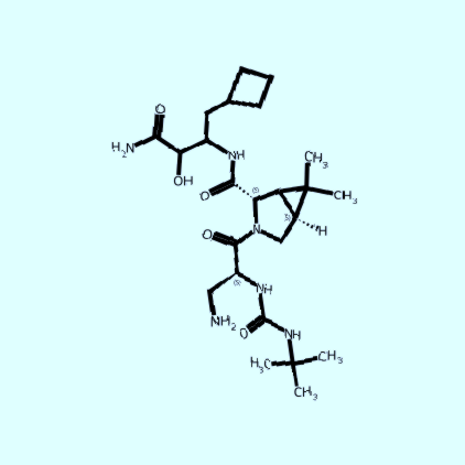 CC(C)(C)NC(=O)N[C@@H](CN)C(=O)N1C[C@H]2C([C@H]1C(=O)NC(CC1CCC1)C(O)C(N)=O)C2(C)C